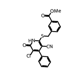 COC(=O)c1cccc(CSc2[nH]c(=O)c(Cl)c(-c3ccccc3)c2C#N)c1